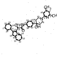 Cc1cc(C)nc(N2CCC(O)(c3ccc(NC(=O)C(=O)c4c(-c5ccccc5)cc5ccccn45)cc3)CC2)c1